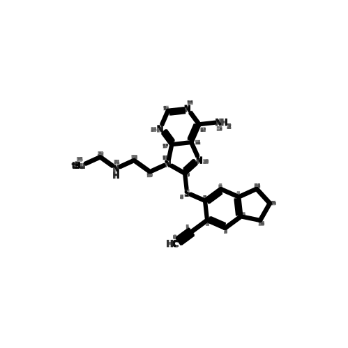 C#Cc1cc2c(cc1Sc1nc3c(N)ncnc3n1CCNCC(C)(C)C)CCC2